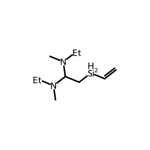 C=C[SiH2]CC(N(C)CC)N(C)CC